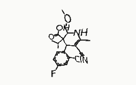 COCC1NC(C)=C(C#N)C(c2ccc(F)cc2Cl)C1(C(=O)O)C(C)C